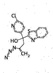 C=C(CC(O)(c1ccc(Cl)nc1)c1nc2ccccc2s1)N=[N+]=[N-]